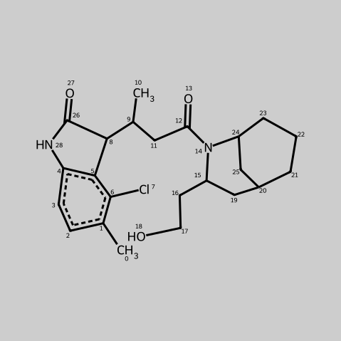 Cc1ccc2c(c1Cl)C(C(C)CC(=O)N1C(CCO)CC3CCCC1C3)C(=O)N2